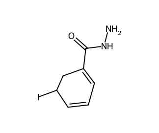 NNC(=O)C1=CC=CC(I)C1